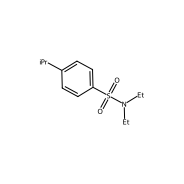 CCN(CC)S(=O)(=O)c1ccc(C(C)C)cc1